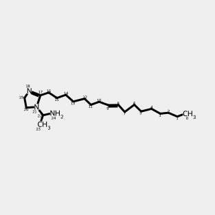 CCCCCCCCC=CCCCCCCCC1=NCCN1C(C)N